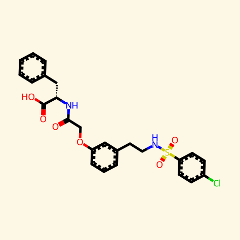 O=C(COc1cccc(CCNS(=O)(=O)c2ccc(Cl)cc2)c1)N[C@@H](Cc1ccccc1)C(=O)O